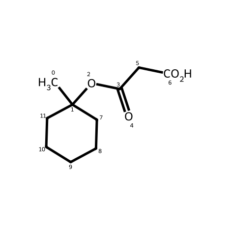 CC1(OC(=O)CC(=O)O)CCCCC1